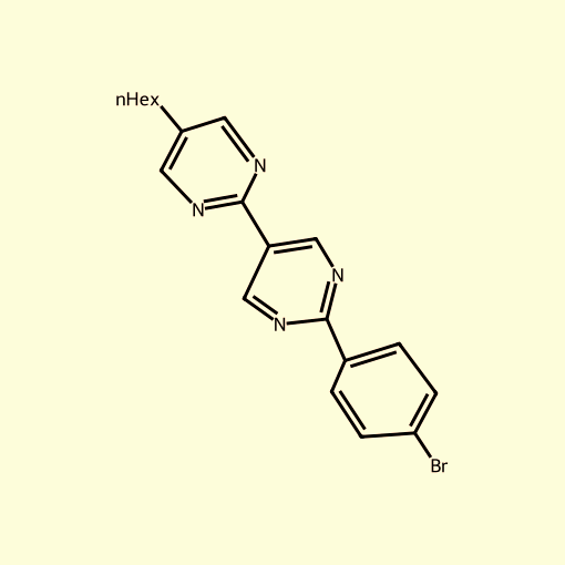 CCCCCCc1cnc(-c2cnc(-c3ccc(Br)cc3)nc2)nc1